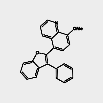 COc1ccc(-c2oc3ccccc3c2-c2ccccc2)c2cccnc12